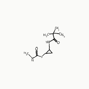 CNC(=O)SC1CC1NC(=O)C(C)(C)C